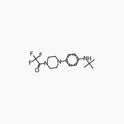 CC(C)(C)Nc1ccc(N2CCN(C(=O)C(F)(F)F)CC2)cc1